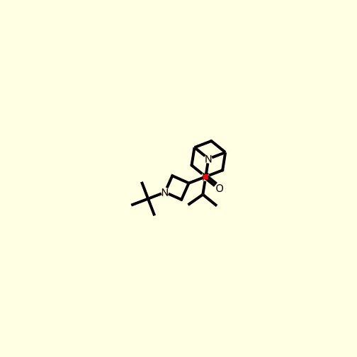 CC(C)N1CC2CC(C1)N2C(=O)C1CN(C(C)(C)C)C1